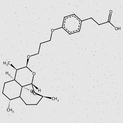 C[C@H]1[C@@H](OCCCOc2ccc(CCC(=O)O)cc2)O[C@@H]2O[C@@]3(C)CCC4[C@H](C)CC[C@@H]1[C@]42OO3